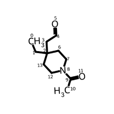 CCC1(CC=O)CCN(C(C)=O)CC1